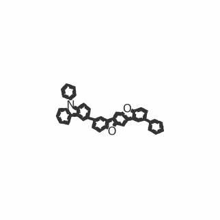 c1ccc(-c2ccc3oc4cc5c(cc4c3c2)oc2ccc(-c3ccc4c(c3)c3ccccc3n4-c3ccccc3)cc25)cc1